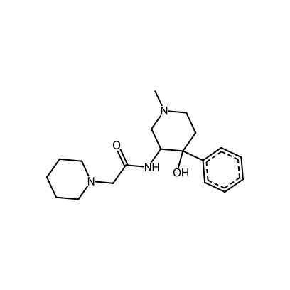 CN1CCC(O)(c2ccccc2)C(NC(=O)CN2CCCCC2)C1